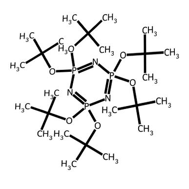 CC(C)(C)OP1(OC(C)(C)C)=NP(OC(C)(C)C)(OC(C)(C)C)=NP(OC(C)(C)C)(OC(C)(C)C)=N1